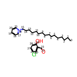 CCCCCCCCCCCCCCCC[n+]1ccccc1.O=Cc1ccccc1O.[Cl-]